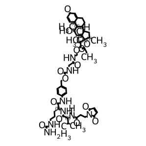 CCC(=O)O[C@]1(C(=O)COCNC(=O)CNC(=O)OCc2ccc(NC(=O)[C@H](CCCNC(N)=O)NC(=O)[C@@H](NC(=O)CCN3C(=O)C=CC3=O)C(C)C)cc2)[C@@H](C)CC2[C@@H]3CCC4=CC(=O)C=C[C@]4(C)[C@@]3(Cl)[C@@H](O)C[C@@]21C